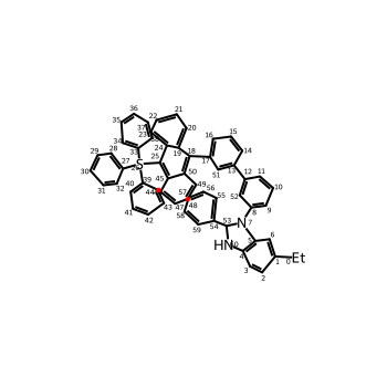 CCc1ccc2c(c1)N(c1cccc(-c3cccc(-c4c5ccccc5c(S(c5ccccc5)(c5ccccc5)c5ccccc5)c5ccccc45)c3)c1)C(c1ccccc1)N2